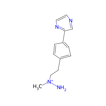 C[N+](N)CCc1ccc(-c2cnccn2)cc1